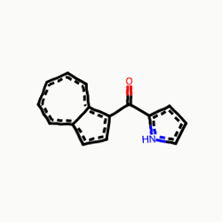 O=C(c1ccc[nH]1)c1ccc2cccccc1-2